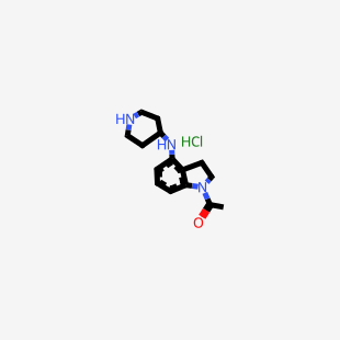 CC(=O)N1CCc2c(NC3CCNCC3)cccc21.Cl